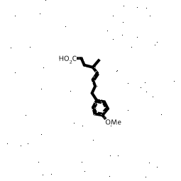 COc1ccc(C[CH]C=CC(C)CCC(=O)O)cc1